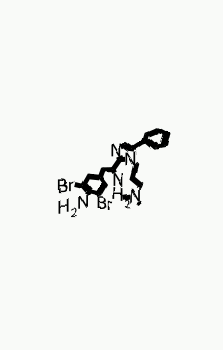 CN(C)CCCn1c(-c2ccccc2)cnc1C(N)Cc1cc(Br)c(N)c(Br)c1